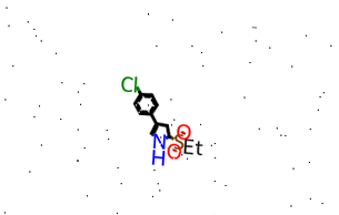 CCS(=O)(=O)C1CC(c2ccc(Cl)cc2)=CN1